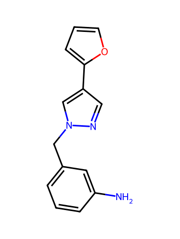 Nc1cccc(Cn2cc(-c3ccco3)cn2)c1